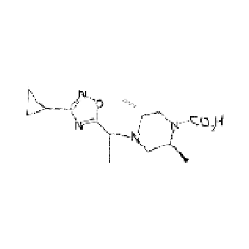 CC(c1nc(C2CC2)no1)N1C[C@H](C)N(C(=O)O)C[C@H]1C